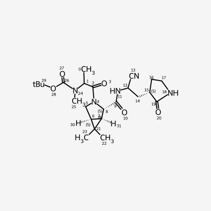 CC(C(=O)N1C[C@H]2[C@@H]([C@H]1C(=O)NC(C#N)C[C@@H]1CCNC1=O)C2(C)C)N(C)C(=O)OC(C)(C)C